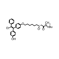 CCCCN(C)C(=O)C[S+]([O-])CCCCCCOc1ccc(C(=C(CC)c2ccccc2)c2ccc(O)cc2)cc1